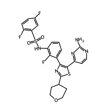 Nc1nccc(-c2sc(C3CCOCC3)nc2-c2cccc(NS(=O)(=O)c3cc(F)ccc3F)c2F)n1